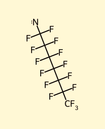 [N]C(F)(F)C(F)(F)C(F)(F)C(F)(F)C(F)(F)C(F)(F)C(F)(F)F